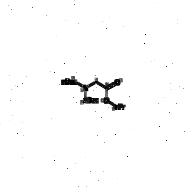 CCCCCCCCCCN(CCCCCCCCCC)CC(=O)OCCC